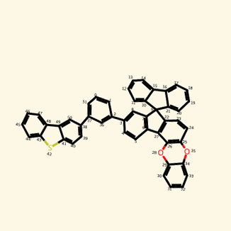 c1cc(-c2ccc3c(c2)C2(c4ccccc4-c4ccccc42)c2ccc4c(c2-3)Oc2ccccc2O4)cc(-c2ccc3sc4ccccc4c3c2)c1